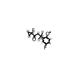 COc1ccc(F)cc1C(C)(C)CC(=O)C1(F)CC1